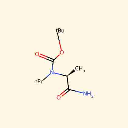 CCCN(C(=O)OC(C)(C)C)[C@@H](C)C(N)=O